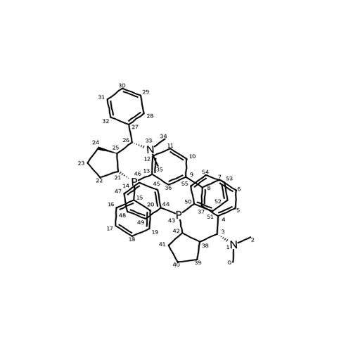 CN(C)[C@@H](c1cccc(-c2cccc([P@](c3ccccc3)C3CCC[C@H]3[C@H](c3ccccc3)N(C)C)c2)c1)C1CCCC1P(c1ccccc1)c1ccccc1